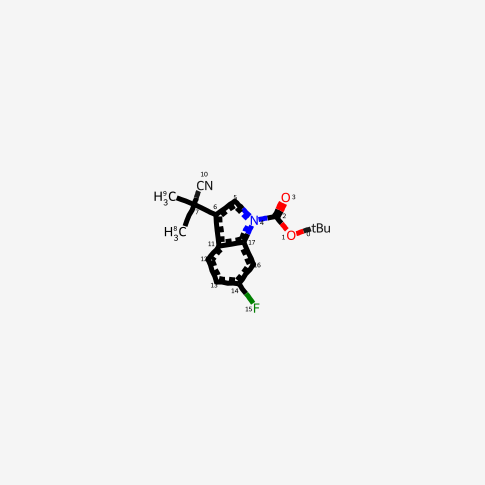 CC(C)(C)OC(=O)n1cc(C(C)(C)C#N)c2ccc(F)cc21